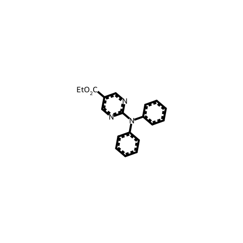 CCOC(=O)c1cnc(N(c2ccccc2)c2ccccc2)nc1